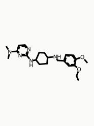 CCOc1cc(CNC2CCC(Nc3nccc(N(C)C)n3)CC2)ccc1OC